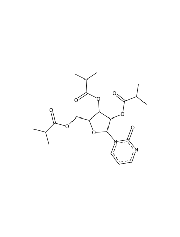 CC(C)C(=O)OCC1OC(n2cccnc2=O)C(OC(=O)C(C)C)C1OC(=O)C(C)C